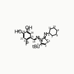 CC(C)(C)c1cs/c(=N\C2CCCCC2)n1/N=C/c1cc(O)c(O)cc1F